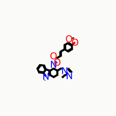 Cc1nccn1CC1CCc2c(c3ccccc3n2C)C1=NOC(=O)C=Cc1ccc2c(c1)OCO2